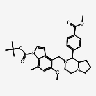 COC(=O)c1ccc(C2C3CCCN3CCN2Cc2c(OC)cc(C)c3c2ccn3C(=O)OC(C)(C)C)cc1